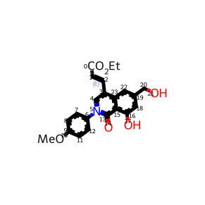 CCOC(=O)/C=C/c1cn(-c2ccc(OC)cc2)c(=O)c2c(O)cc(CO)cc12